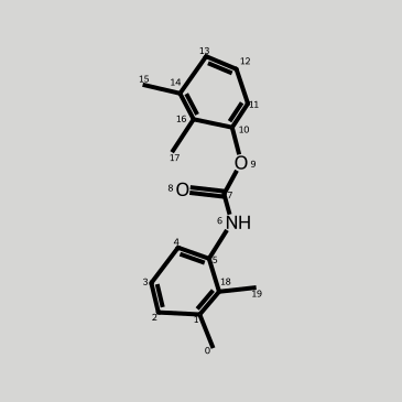 Cc1cccc(NC(=O)Oc2cccc(C)c2C)c1C